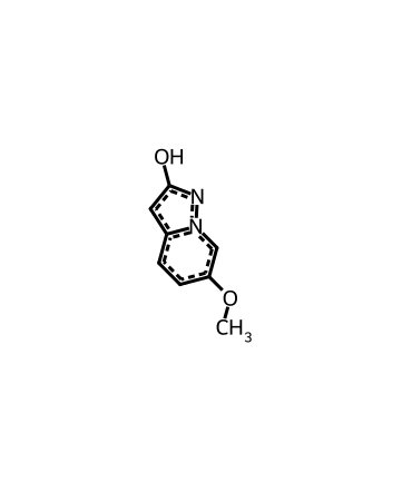 COc1ccc2cc(O)nn2c1